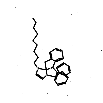 CCCCCCCCCN1C=CN(Cc2ccccc2)C1(Cc1ccccc1)C(CC)c1ccccc1